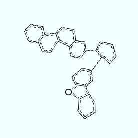 c1ccc(-c2ccc3oc4ccccc4c3c2)c(-c2ccc3c(ccc4c5ccccc5ccc34)c2)c1